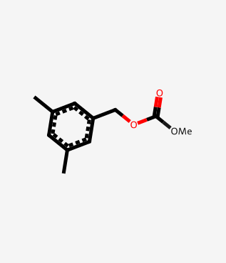 COC(=O)OCc1cc(C)cc(C)c1